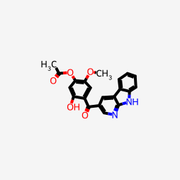 COc1cc(C(=O)c2cnc3[nH]c4ccccc4c3c2)c(O)cc1OC(C)=O